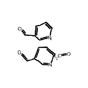 C=O.O=Cc1cccnc1.O=Cc1cccnc1